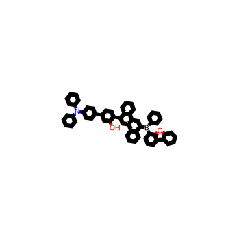 Oc1cc(-c2ccc(N(c3ccccc3)c3ccccc3)cc2)ccc1-c1cc2c3ccccc3c(B(c3ccccc3)c3cccc4c3oc3ccccc34)cc2c2ccccc12